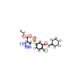 CCOC(=O)c1[nH]nnc1[S+]([O-])c1ccc(Cl)c(OCC2CCCCC2)c1